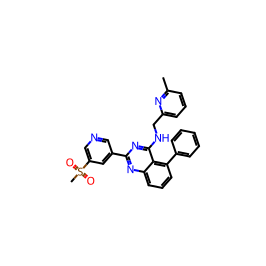 Cc1cccc(CNc2nc(-c3cncc(S(C)(=O)=O)c3)nc3cccc(-c4ccccc4)c23)n1